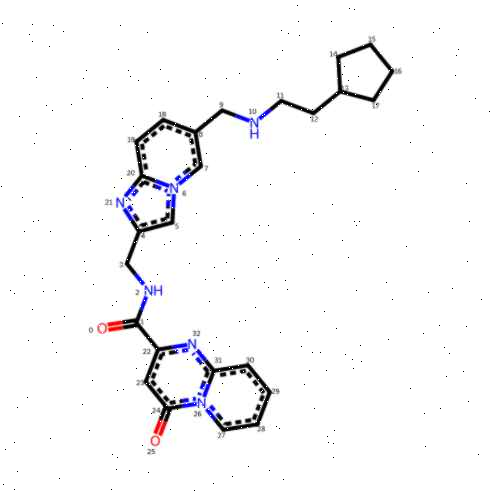 O=C(NCc1cn2cc(CNCCC3CCCC3)ccc2n1)c1cc(=O)n2ccccc2n1